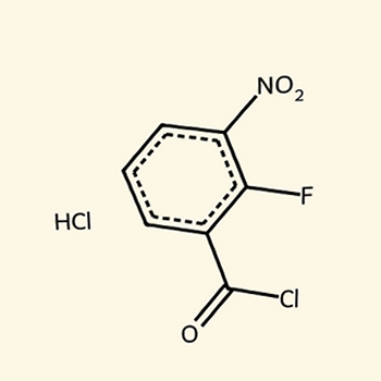 Cl.O=C(Cl)c1cccc([N+](=O)[O-])c1F